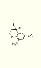 Cc1cc(N)c2c(c1)C(F)(F)CCO2